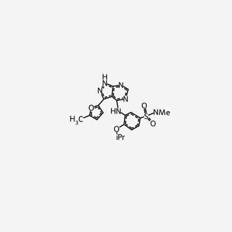 CNS(=O)(=O)c1ccc(OC(C)C)c(Nc2ncnc3[nH]nc(-c4ccc(C)o4)c23)c1